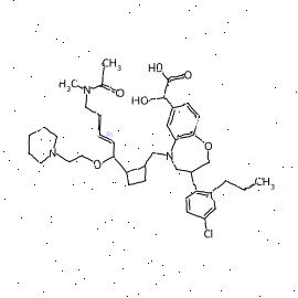 CCCc1cc(Cl)ccc1C1COc2ccc(C(O)C(=O)O)cc2N(CC2CCC2C(/C=C/CCN(C)C(C)=O)OCCN2CCCCC2)C1